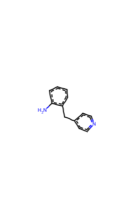 Nc1ccccc1Cc1c[c]ncc1